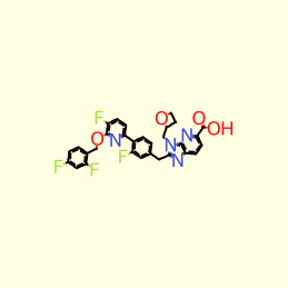 O=C(O)c1ccc2nc(Cc3ccc(-c4ccc(F)c(OCc5ccc(F)cc5F)n4)c(F)c3)n(CC3CCO3)c2n1